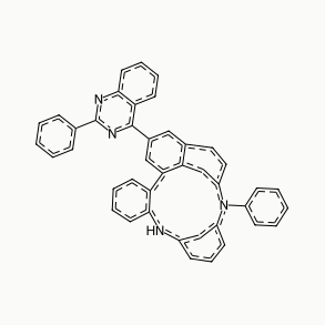 c1ccc(-c2nc(-c3cc4ccc5cc4c(c3)c3ccccc3[nH]c3cccc(c3)n5-c3ccccc3)c3ccccc3n2)cc1